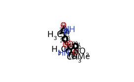 COC(=O)C1=C(C)NC(C)=C(C(=O)Oc2ccc(C3=NNC(=O)CC3C)cc2)C1c1ccccc1[N+](=O)[O-]